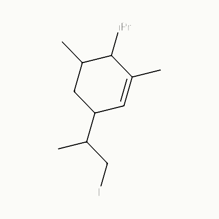 CC1=CC(C(C)CI)CC(C)C1C(C)C